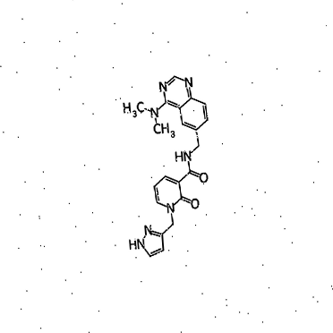 CN(C)c1ncnc2ccc(CNC(=O)c3cccn(Cc4cc[nH]n4)c3=O)cc12